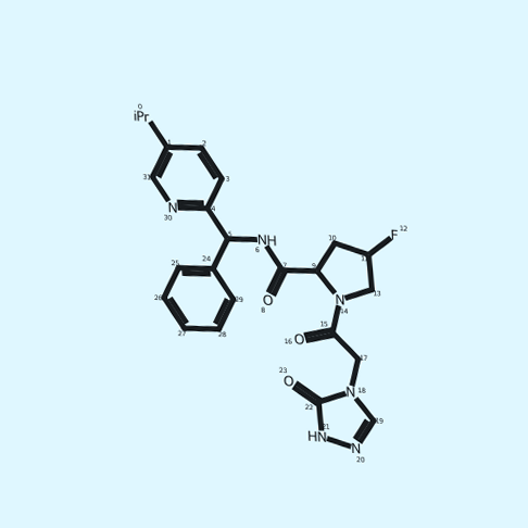 CC(C)c1ccc(C(NC(=O)C2CC(F)CN2C(=O)Cn2cn[nH]c2=O)c2ccccc2)nc1